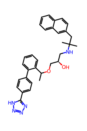 CC(OC[C@H](O)CNC(C)(C)Cc1ccc2ccccc2c1)c1ccccc1-c1ccc(-c2nnn[nH]2)cc1